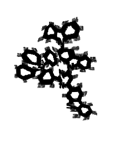 c1ccc([Si](c2ccccc2)(c2ccccc2)c2cccc(-c3nc(-c4ccc5c(c4)sc4ccccc45)cc(-n4c5ccccc5c5cc(-n6c7ccccc7c7ccccc76)ccc54)n3)c2)cc1